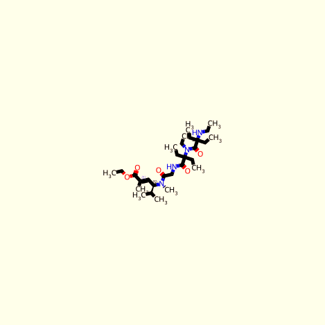 CCNC(CC)(CC)C(=O)N(CC)C(CC)(CC)C(=O)NCC(=O)N(C)[C@H](/C=C(\C)C(=O)OCC)C(C)C